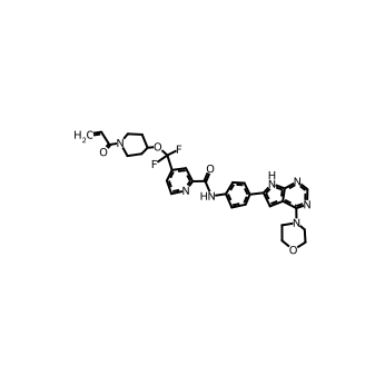 C=CC(=O)N1CCC(OC(F)(F)c2ccnc(C(=O)Nc3ccc(-c4cc5c(N6CCOCC6)ncnc5[nH]4)cc3)c2)CC1